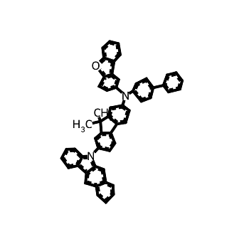 CC1(C)c2cc(N(c3ccc(-c4ccccc4)cc3)c3ccc4oc5ccccc5c4c3)ccc2-c2ccc(-n3c4ccccc4c4cc5ccccc5cc43)cc21